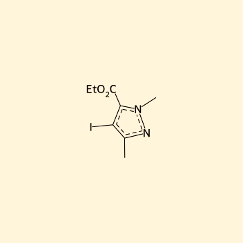 CCOC(=O)c1c(I)c(C)nn1C